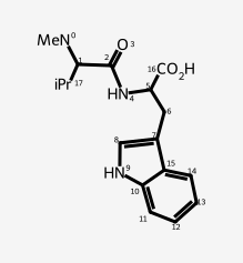 CNC(C(=O)NC(Cc1c[nH]c2ccccc12)C(=O)O)C(C)C